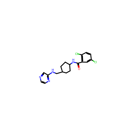 O=C(NC1CCC(CNc2cnccn2)CC1)c1cc(Cl)ccc1Cl